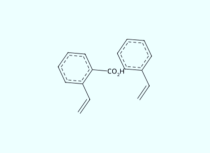 C=Cc1ccccc1.C=Cc1ccccc1C(=O)O